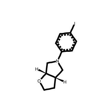 Ic1ccc(N2C[C@@H]3CCO[C@@H]3C2)cc1